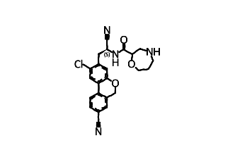 N#Cc1ccc2c(c1)COc1cc(C[C@@H](C#N)NC(=O)C3CNCCCO3)c(Cl)cc1-2